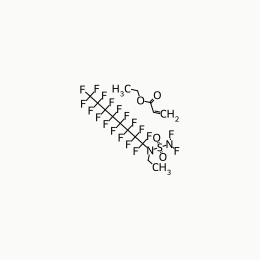 C=CC(=O)OCC.CCN(C(F)(F)C(F)(F)C(F)(F)C(F)(F)C(F)(F)C(F)(F)C(F)(F)C(F)(F)F)S(=O)(=O)N(F)F